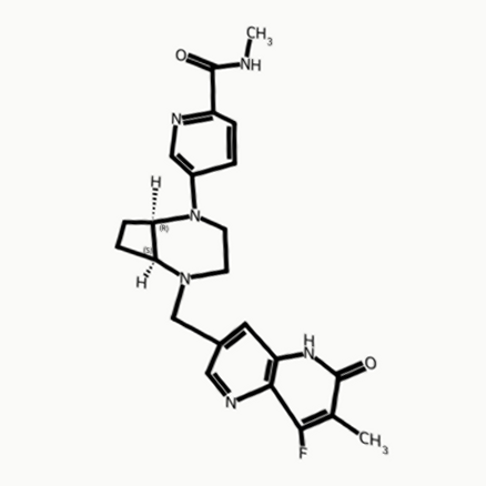 CNC(=O)c1ccc(N2CCN(Cc3cnc4c(F)c(C)c(=O)[nH]c4c3)[C@H]3CC[C@H]32)cn1